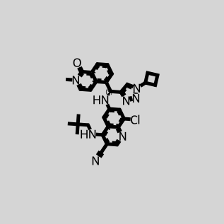 Cn1ccc2c([C@H](Nc3cc(Cl)c4ncc(C#N)c(NCC(C)(C)C)c4c3)c3cn(C4CCC4)nn3)cccc2c1=O